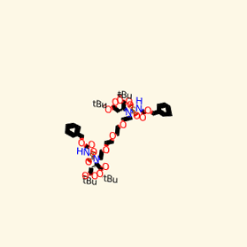 CC(C)(C)OC(=O)C[C@@H](C(=O)OC(C)(C)C)N(CCOCCOCCOCCN([C@@H](CC(=O)OC(C)(C)C)C(=O)OC(C)(C)C)S(=O)(=O)NC(=O)OCc1ccccc1)S(=O)(=O)NC(=O)OCc1ccccc1